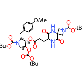 COc1ccc(C[C@@H]2[C@H](OC(=O)CCC3NC(=O)C4(CN(C(=O)OC(C)(C)C)C4)NC3=O)[C@@H](OC(=O)OC(C)(C)C)CN2C(=O)OC(C)(C)C)cc1